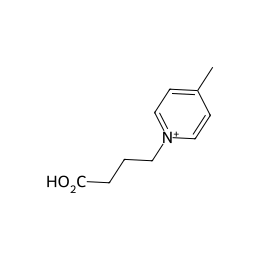 Cc1cc[n+](CCCC(=O)O)cc1